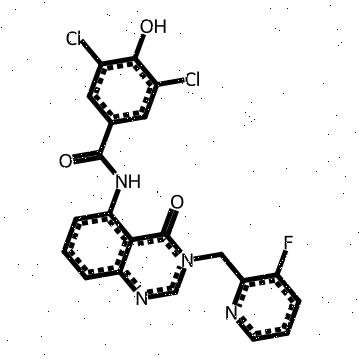 O=C(Nc1cccc2ncn(Cc3ncccc3F)c(=O)c12)c1cc(Cl)c(O)c(Cl)c1